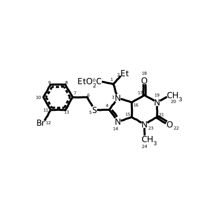 CCOC(=O)C(CC)N1C(SCc2cccc(Br)c2)=NC2C1C(=O)N(C)C(=O)N2C